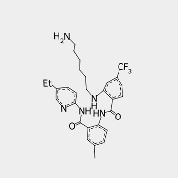 CCc1ccc(NC(=O)c2cc(C)ccc2NC(=O)c2ccc(C(F)(F)F)cc2NCCCCCCN)nc1